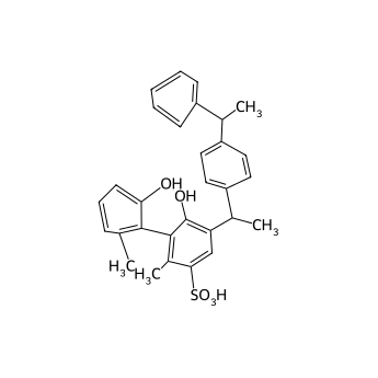 Cc1cccc(O)c1-c1c(C)c(S(=O)(=O)O)cc(C(C)c2ccc(C(C)c3ccccc3)cc2)c1O